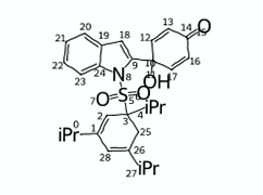 CC(C)C1=CC(C(C)C)(S(=O)(=O)n2c(C3(O)C=CC(=O)C=C3)cc3ccccc32)CC(C(C)C)=C1